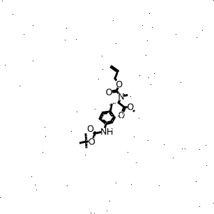 C=CCOC(=O)N(C)[C@@H](Cc1ccc(NC(=O)OC(C)(C)C)cc1)C(=O)OC